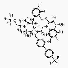 [2H]C1=C(SCc2cccc(F)c2F)N(CC(=O)N(Cc2ccc(-c3ccc(C(F)(F)F)cc3)cc2)C2([2H])C([2H])([2H])C([2H])([2H])N(C([2H])([2H])COC([2H])([2H])[2H])C([2H])([2H])C2([2H])[2H])c2c([2H])c([2H])c(C)c([2H])c2C1O